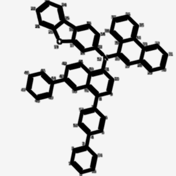 c1ccc(-c2ccc(-c3ccc(N(c4ccc5c(c4)oc4ccccc45)c4cc5ccccc5c5ccccc45)c4ccc(-c5ccccc5)cc34)cc2)cc1